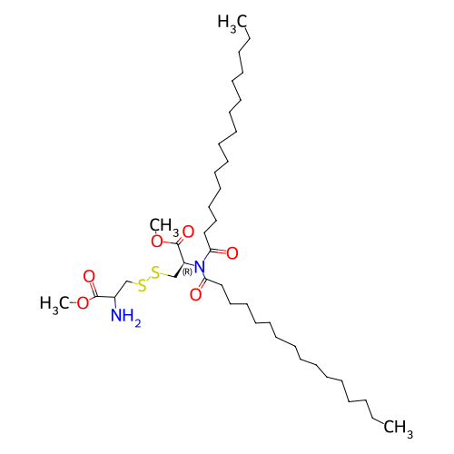 CCCCCCCCCCCCCCCC(=O)N(C(=O)CCCCCCCCCCCCCCC)[C@@H](CSSCC(N)C(=O)OC)C(=O)OC